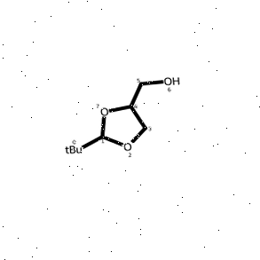 CC(C)(C)C1OCC(CO)O1